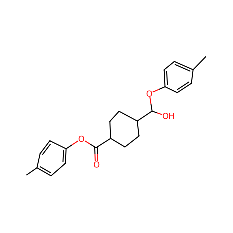 Cc1ccc(OC(=O)C2CCC(C(O)Oc3ccc(C)cc3)CC2)cc1